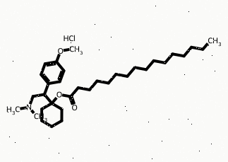 CCCCCCCCCCCCCCCC(=O)OC1(C(CN(C)C)c2ccc(OC)cc2)CCCCC1.Cl